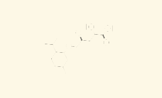 CC1CCC(C(C)C)C(OCC(=O)CC(O)C(=O)O)C1